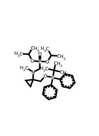 CC(C)OP(=O)(CN(C)C1(CO[Si](c2ccccc2)(c2ccccc2)C(C)(C)C)CC1)OC(C)C